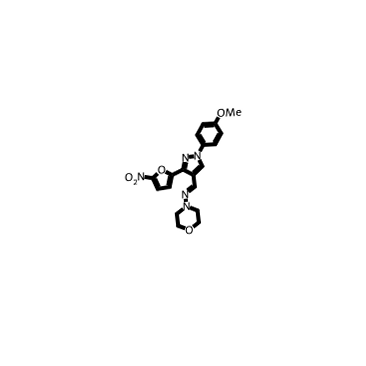 COc1ccc(-n2cc(C=NN3CCOCC3)c(-c3ccc([N+](=O)[O-])o3)n2)cc1